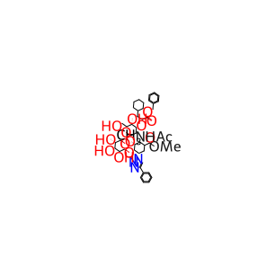 COC(=O)C1CC(n2cc(-c3ccccc3)nn2)C(O[C@@H]2OC(C)[C@@H](O)C(O)C2O)[C@H](O[C@@H]2OC(CO)[C@H](O)C(O[C@@H](CC3CCCCC3)C(=O)OCc3ccccc3)C2NC(C)=O)C1